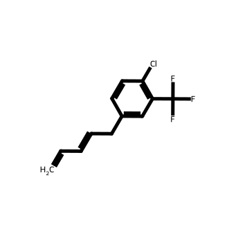 C=CC=CCc1ccc(Cl)c(C(F)(F)F)c1